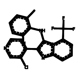 Cc1cccc(Cl)c1Nc1c(-c2ccncc2Cl)nc2cccc(C(F)(F)F)n12